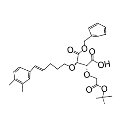 Cc1ccc(C=CCCCO[C@@H](C(=O)OCc2ccccc2)[C@@H](OCC(=O)OC(C)(C)C)C(=O)O)cc1C